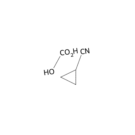 N#CC1CC1.O=C(O)O